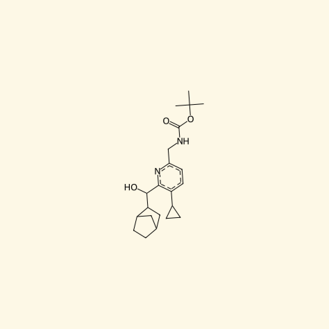 CC(C)(C)OC(=O)NCc1ccc(C2CC2)c(C(O)C2CC3CCC2C3)n1